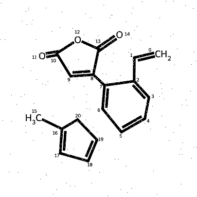 C=Cc1ccccc1C1=CC(=O)OC1=O.CC1=CC=CC1